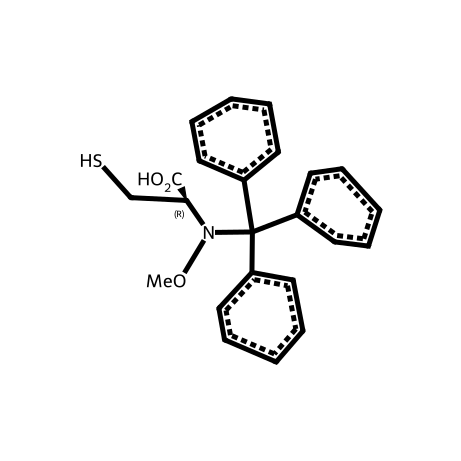 CON([C@@H](CS)C(=O)O)C(c1ccccc1)(c1ccccc1)c1ccccc1